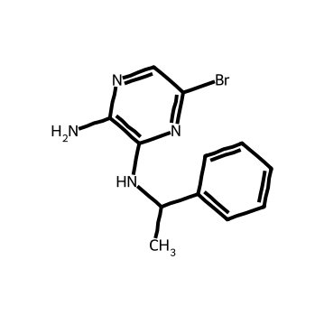 CC(Nc1nc(Br)cnc1N)c1ccccc1